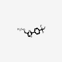 CO[CH]c1csc(-c2ccc(C(F)(F)F)cc2)n1